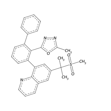 Cc1nnc(-c2c(-c3ccccc3)cccc2-c2cc(C(C)(C)S(C)(=O)=O)cc3cccnc23)o1